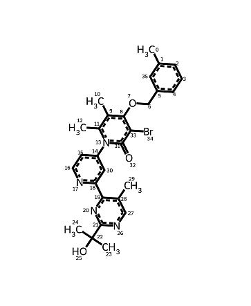 Cc1cccc(COc2c(C)c(C)n(-c3ccnc(-c4nc(C(C)(C)O)ncc4C)c3)c(=O)c2Br)c1